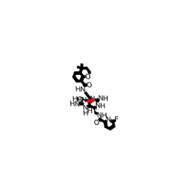 CC1(C)CCOc2c(C(=O)NC3CN4C(=N)N[C@@H](CNC(=O)c5cccc(F)n5)[C@@H]5NC(=N)NC54[C@@H]3O)cccc21